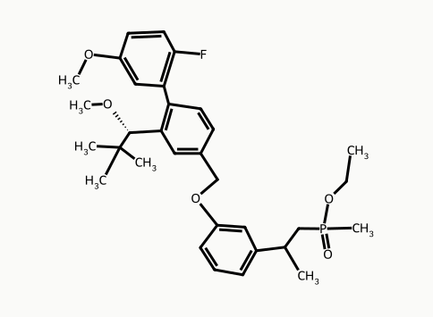 CCOP(C)(=O)CC(C)c1cccc(OCc2ccc(-c3cc(OC)ccc3F)c([C@@H](OC)C(C)(C)C)c2)c1